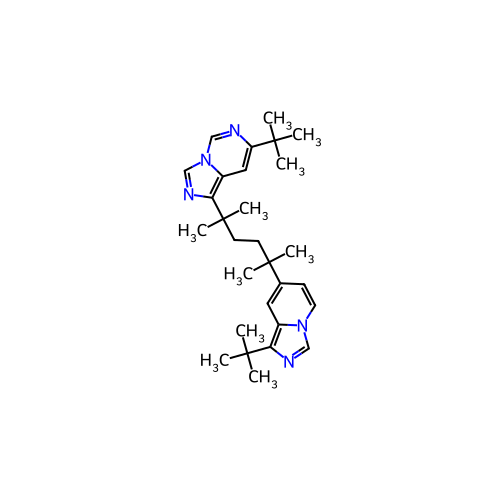 CC(C)(C)c1cc2c(C(C)(C)CCC(C)(C)c3ccn4cnc(C(C)(C)C)c4c3)ncn2cn1